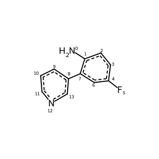 Nc1ccc(F)cc1-c1cccnc1